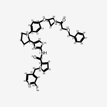 O=C(Nc1nc(C2CCCN2c2ccc(OC3CN(C(=O)COCc4ccccc4)C3)cc2)cs1)c1cccn1Cc1ccnc(F)c1